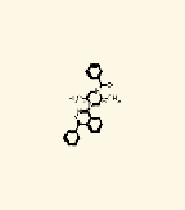 C[C@@H]1CN(c2nnc(-c3ccccc3)c3ccccc23)[C@@H](C)CN1C(=O)c1ccccc1